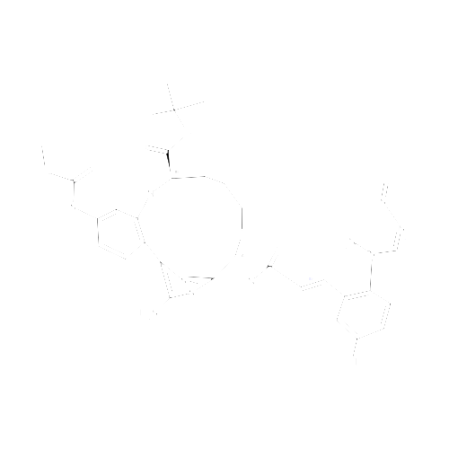 C=N/N=C\N(N)c1ccc(Cl)cc1/C=C/C(=O)N[C@H]1CCCC[C@H](C(=O)OC(C)(C)C)Nc2cc(NC(=O)OC)ccc2-c2nc1[nH]c2N